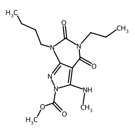 CCCCn1c(=O)n(CCC)c(=O)c2c(NC)n(C(=O)OC)nc21